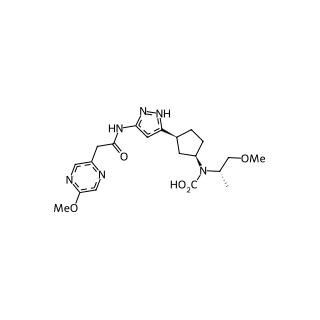 COC[C@H](C)N(C(=O)O)[C@@H]1CC[C@H](c2cc(NC(=O)Cc3cnc(OC)cn3)n[nH]2)C1